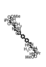 COC(=O)N[C@@H](C(=O)CN[C@H](C)c1ncc(-c2ccc(-c3ccc(C4COC(c5cnc([C@H](C)CNC(=O)[C@H](NC(=O)OC)C(C)C)[nH]5)OC4)cc3)cc2)[nH]1)C(C)C